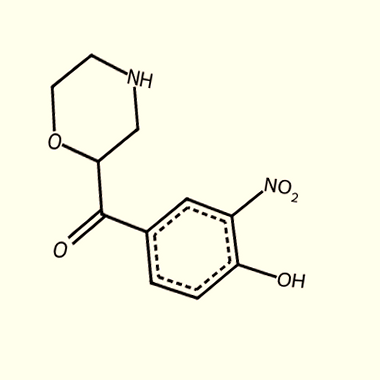 O=C(c1ccc(O)c([N+](=O)[O-])c1)C1CNCCO1